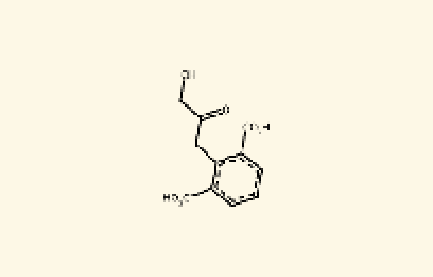 O=C(CO)Cc1c(C(=O)O)cccc1C(=O)O